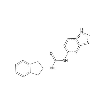 O=C(Nc1ccc2[nH]ccc2c1)NC1Cc2ccccc2C1